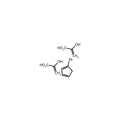 C=C(O)C(=O)O.C=C(O)C(=O)O.[Yb][C]1=CC=CC1